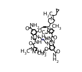 C=C(CC1CC1)N1CCC(CC#CCOc2cc(C(N)=O)cc3nc(NC(=O)c4cc(C)nn4CC)n(C/C=C/Cn4c(NC(=O)c5cc(C)nn5CC)nc5cc(C(N)=O)cc(OC)c54)c23)CC1